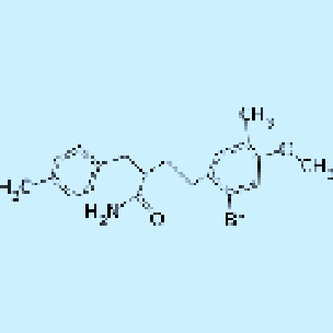 COc1cc(Br)c(CCC(Cc2ccc(C)cc2)C(N)=O)cc1C